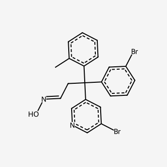 Cc1ccccc1C(C/C=N/O)(c1cccc(Br)c1)c1cncc(Br)c1